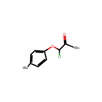 CC(C)(C)C(=O)C(Cl)Oc1ccc(C(C)(C)C)cc1